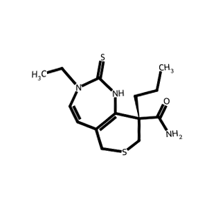 CCC[C@@]1(C(N)=O)CSCC2=C1NC(=S)N(CC)C=C2